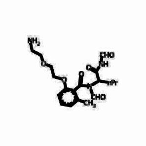 CCCC(C(=O)NC=O)N(C=O)C(=O)c1c(C)cccc1OCCOCCN